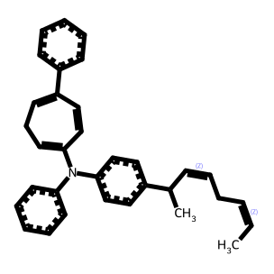 C/C=C\C/C=C\C(C)c1ccc(N(C2=CCC=C(c3ccccc3)C=C2)c2ccccc2)cc1